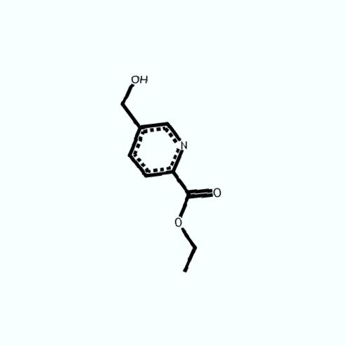 CCOC(=O)c1ccc(CO)cn1